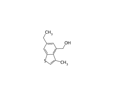 CCc1cc(CO)c2c(C)csc2c1